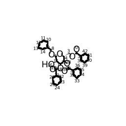 O=C(OC[C@H]1O[C@H](OCc2ccccc2)[C@@H](O)[C@@H](OC(=O)c2ccccc2)[C@@H]1OC(=O)c1ccccc1)c1ccccc1